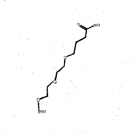 CCCCCCOCCOCCOCCCC(=O)N=O